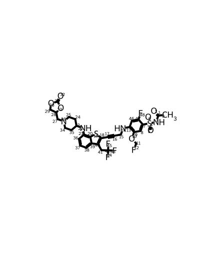 CC(=O)NS(=O)(=O)c1cc(OCF)c(NCC#Cc2sc3c(NC4CCN(CC5COC(=O)O5)CC4)cccc3c2CC(F)(F)F)cc1F